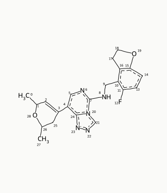 CC1C=C(c2cnc(NCc3c(F)ccc4c3CCO4)n3cnnc23)CC(C)O1